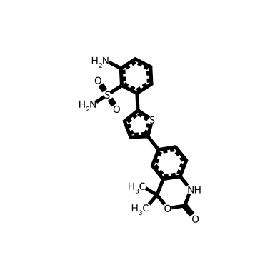 CC1(C)OC(=O)Nc2ccc(-c3ccc(-c4cccc(N)c4S(N)(=O)=O)s3)cc21